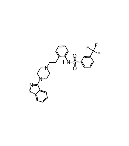 O=S(=O)(Nc1ccccc1CCN1CCN(c2nsc3ccccc23)CC1)c1cccc(C(F)(F)F)c1